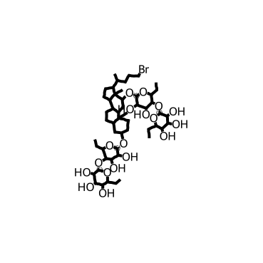 CCC1O[C@@H](OC2C(CC)O[C@H](OC3CC4C(CCC5CC(O[C@H]6OC(CC)C(O[C@@H]7OC(CC)C(O)C(O)C7O)C(O)C6O)CCC54C)C4CCC(C(C)CCCBr)C34C)C(O)C2O)C(O)C(O)C1O